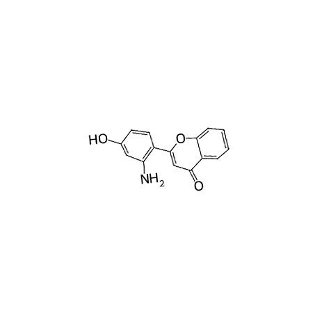 Nc1cc(O)ccc1-c1cc(=O)c2ccccc2o1